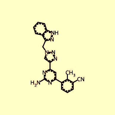 Cc1c(C#N)cccc1-c1cc(-c2cn(Cc3n[nH]c4ccccc34)nn2)nc(N)n1